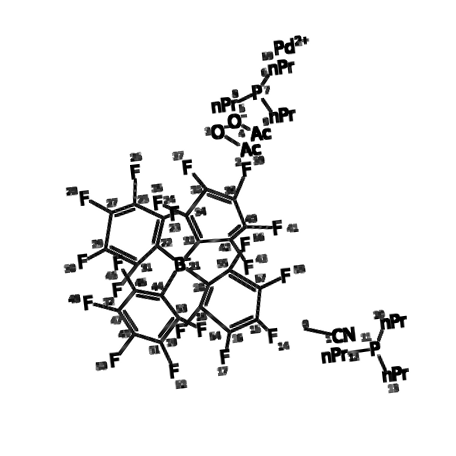 CC#N.CC(=O)[O-].CC(=O)[O-].CCCP(CCC)CCC.CCCP(CCC)CCC.Fc1c(F)c(F)c([B-](c2c(F)c(F)c(F)c(F)c2F)(c2c(F)c(F)c(F)c(F)c2F)c2c(F)c(F)c(F)c(F)c2F)c(F)c1F.[Pd+2]